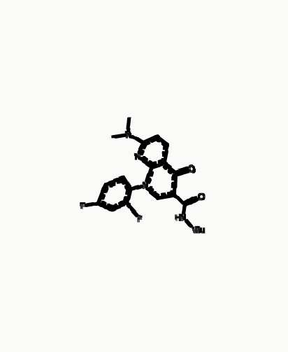 CN(C)c1ccc2c(=O)c(C(=O)NC(C)(C)C)cn(-c3ccc(F)cc3F)c2n1